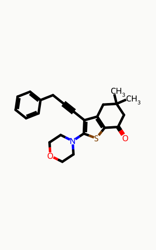 CC1(C)CC(=O)c2sc(N3CCOCC3)c(C#CCc3ccccc3)c2C1